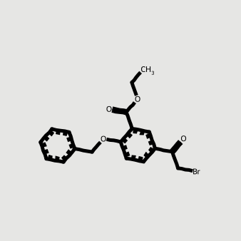 CCOC(=O)c1cc(C(=O)CBr)ccc1OCc1ccccc1